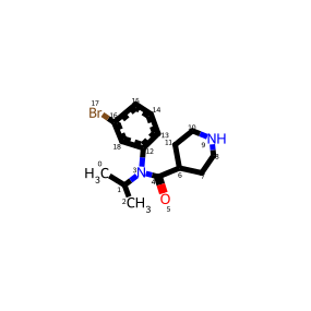 CC(C)N(C(=O)C1CCNCC1)c1cccc(Br)c1